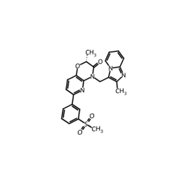 Cc1nc2ccccn2c1CN1C(=O)[C@@H](C)Oc2ccc(-c3cccc(S(C)(=O)=O)c3)nc21